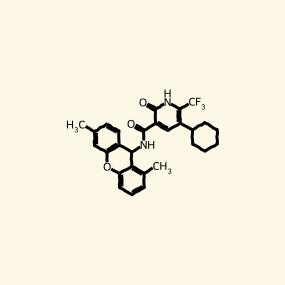 Cc1ccc2c(c1)Oc1cccc(C)c1C2NC(=O)c1cc(C2CCCCC2)c(C(F)(F)F)[nH]c1=O